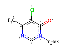 CCCCCCn1cnc(C(F)(F)F)c(Cl)c1=O